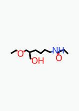 CCOCC(CO)CCCCNC(=O)CC